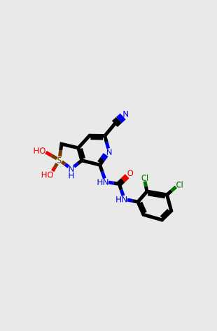 N#Cc1cc2c(c(NC(=O)Nc3cccc(Cl)c3Cl)n1)NS(O)(O)C2